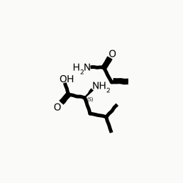 C=CC(N)=O.CC(C)C[C@H](N)C(=O)O